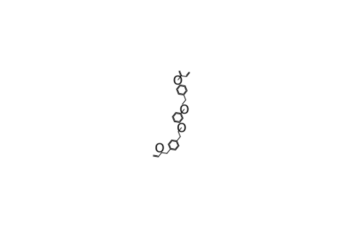 C=CC(=C)Oc1ccc(CCOc2cccc(OCCc3ccc(CC(=O)C=C)cc3)c2)cc1